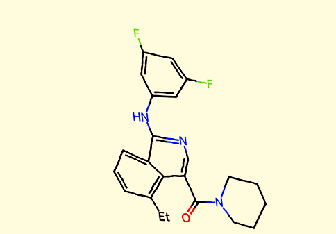 CCc1cccc2c(Nc3cc(F)cc(F)c3)ncc(C(=O)N3CCCCC3)c12